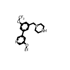 CCOc1cncc(-c2cc(CN3CCNCC3)cc(OC(F)(F)F)c2)c1